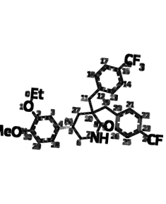 CCOc1cc([C@H]2CNC(=O)C(Cc3ccc(C(F)(F)F)cc3)(Cc3ccc(C(F)(F)F)cc3)C2)ccc1OC